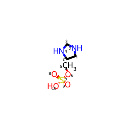 C1CNCN1.COS(=O)(=O)O